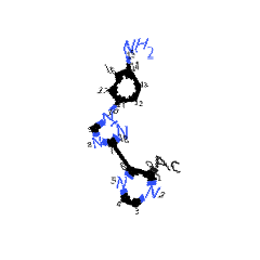 CC(=O)c1nccnc1-c1ncn(-c2ccc(N)cc2)n1